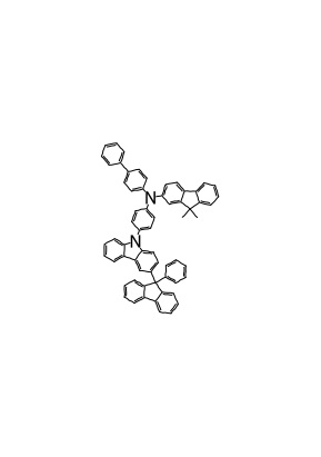 CC1(C)c2ccccc2-c2ccc(N(c3ccc(-c4ccccc4)cc3)c3ccc(-n4c5ccccc5c5cc(C6(c7ccccc7)c7ccccc7-c7ccccc76)ccc54)cc3)cc21